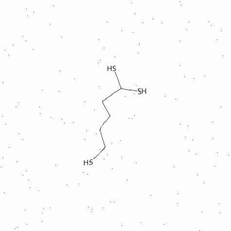 SCCCCC(S)S